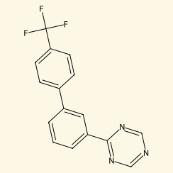 FC(F)(F)c1ccc(-c2cccc(-c3ncncn3)c2)cc1